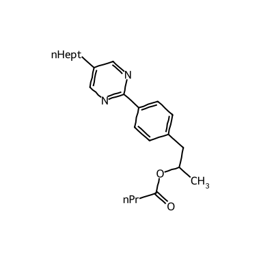 CCCCCCCc1cnc(-c2ccc(CC(C)OC(=O)CCC)cc2)nc1